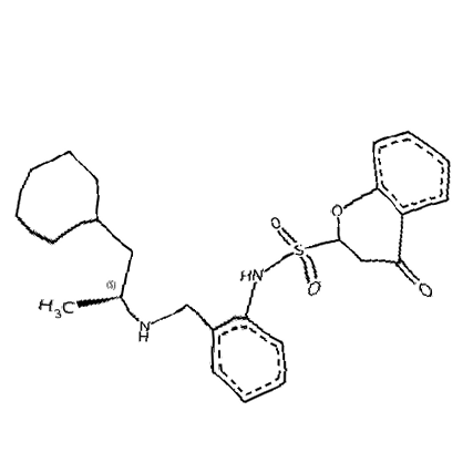 C[C@@H](CC1CCCCC1)NCc1ccccc1NS(=O)(=O)C1CC(=O)c2ccccc2O1